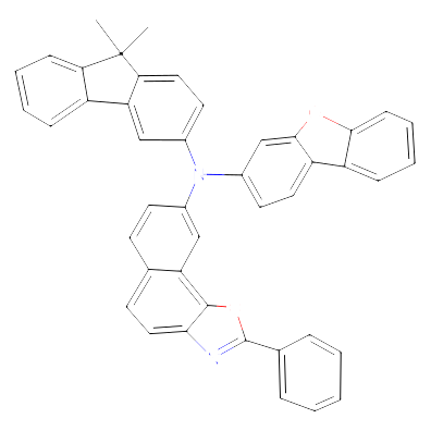 CC1(C)c2ccccc2-c2cc(N(c3ccc4c(c3)oc3ccccc34)c3ccc4ccc5nc(-c6ccccc6)oc5c4c3)ccc21